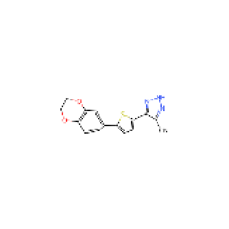 N#Cc1n[nH]nc1-c1ccc(-c2ccc3c(c2)OCCO3)s1